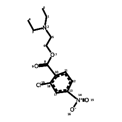 CCN(CC)CCOC(=O)c1ccc([N+](=O)[O-])cc1Cl